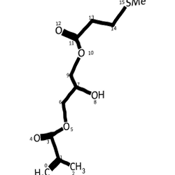 C=C(C)C(=O)OCC(O)COC(=O)CCSC